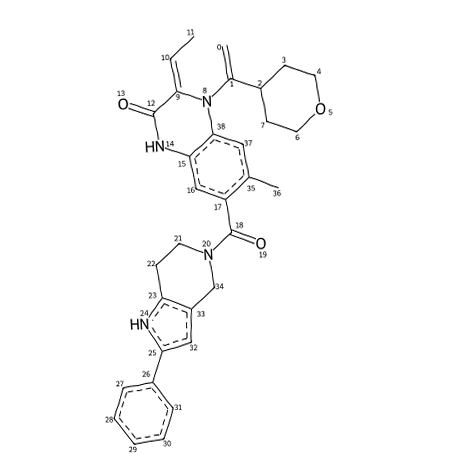 C=C(C1CCOCC1)N1/C(=C\C)C(=O)Nc2cc(C(=O)N3CCc4[nH]c(-c5ccccc5)cc4C3)c(C)cc21